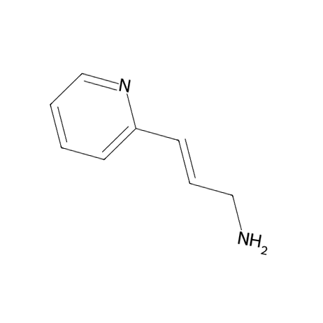 NCC=Cc1ccccn1